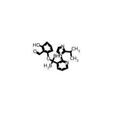 BC(B)(Oc1cccc(O)c1C=O)c1cccnc1-n1ccnc1C(C)C